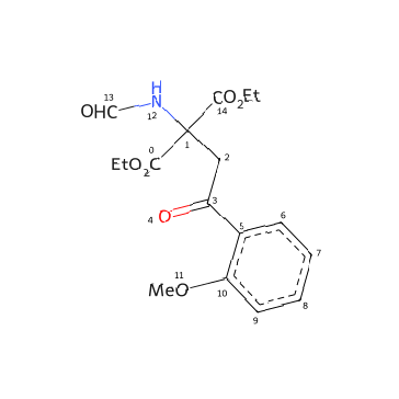 CCOC(=O)C(CC(=O)c1ccccc1OC)(NC=O)C(=O)OCC